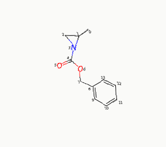 CC1CN1C(=O)OCc1ccccc1